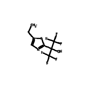 [CH2]Cc1cnc(C(O)(C(F)(F)F)C(F)(F)F)s1